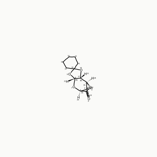 O=C1O[C@H]2[C@H](O)[C@@H]1O[C@@H]1OC3(CCCCC3)O[C@@H]12